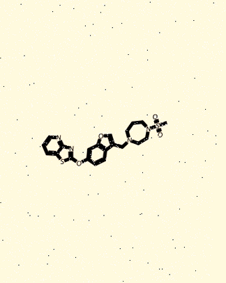 CS(=O)(=O)N1CCCN(Cc2coc3cc(Oc4nc5ncccc5s4)ccc23)CC1